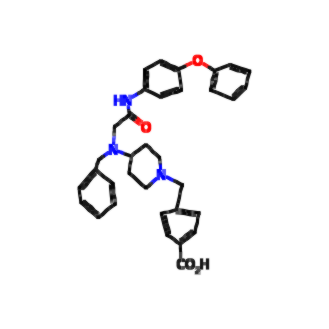 O=C(CN(Cc1ccccc1)C1CCN(Cc2ccc(C(=O)O)cc2)CC1)Nc1ccc(Oc2ccccc2)cc1